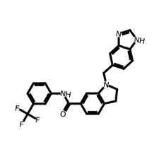 O=C(Nc1cccc(C(F)(F)F)c1)c1ccc2c(c1)N(Cc1ccc3[nH]cnc3c1)CC2